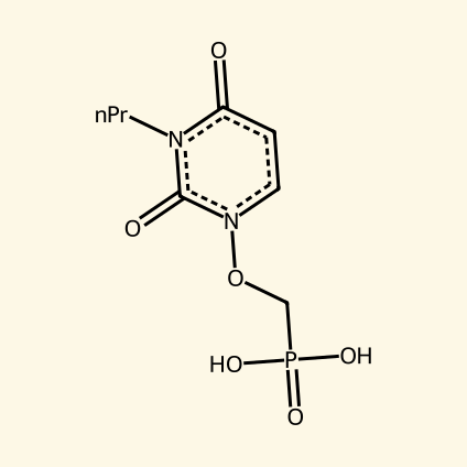 CCCn1c(=O)ccn(OCP(=O)(O)O)c1=O